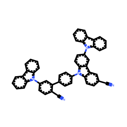 N#Cc1ccc2c(c1)c1cc(-n3c4ccccc4c4ccccc43)ccc1n2-c1ccc(-c2cc(-n3c4ccccc4c4ccccc43)ccc2C#N)cc1